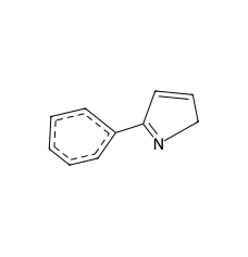 C1=CC(c2ccccc2)=NC1